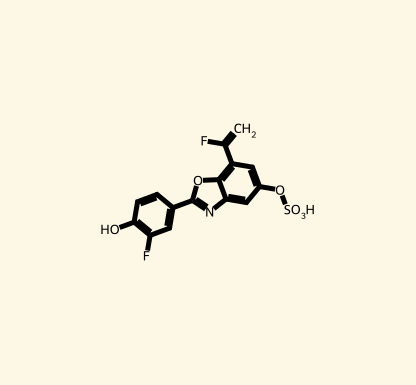 C=C(F)c1cc(OS(=O)(=O)O)cc2nc(-c3ccc(O)c(F)c3)oc12